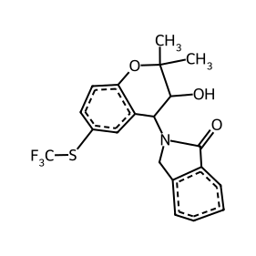 CC1(C)Oc2ccc(SC(F)(F)F)cc2C(N2Cc3ccccc3C2=O)C1O